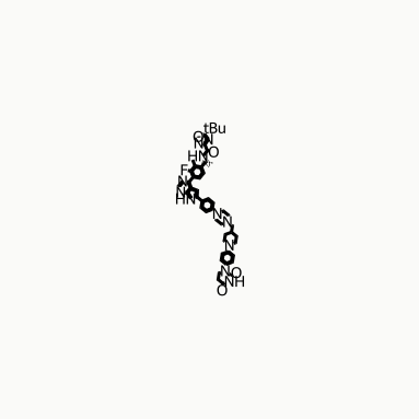 Cc1c([C@@H](C)NC(=O)c2noc(C(C)(C)C)n2)ccc(-c2ncnc3[nH]c(-c4ccc(N5CCN(CC6CCN(c7ccc(N8CCC(=O)NC8=O)cc7)CC6)CC5)cc4)cc23)c1F